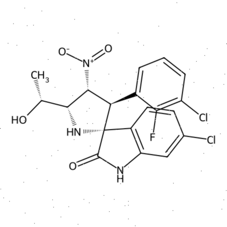 C[C@@H](O)[C@H]1N[C@]2(C(=O)Nc3cc(Cl)ccc32)[C@H](c2cccc(Cl)c2F)[C@H]1[N+](=O)[O-]